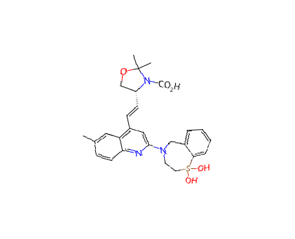 Cc1ccc2nc(N3CCS(O)(O)c4ccccc4C3)cc(C=C[C@@H]3COC(C)(C)N3C(=O)O)c2c1